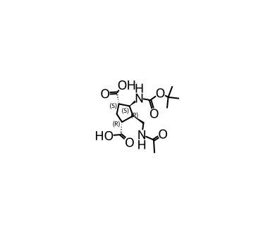 CC(=O)NC[C@@H]1[C@H](NC(=O)OC(C)(C)C)[C@@H](C(=O)O)C[C@H]1C(=O)O